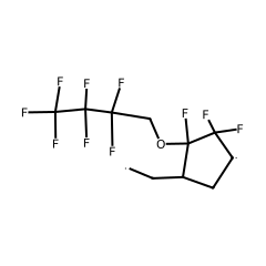 [CH2]CC1C[CH]C(F)(F)C1(F)OCC(F)(F)C(F)(F)C(F)(F)F